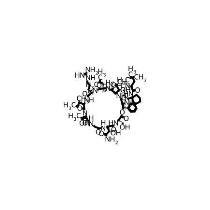 CC[C@H](C)C1NC(=O)[C@@H](CCCNC(=N)N)NC(=O)[C@H](CC(C)C)NC(=O)[C@H]([C@H](O)C(C)C)NC(=O)[C@@H](NC(=O)C2(NC(=O)[C@H](N)CC(C)(C)C)CCCCC2)[C@@H](c2ccccc2)OC(=O)[C@H](CO)NC(=O)[C@H]([C@H](O)C(N)=O)NC(=O)CNC(=O)[C@H]([C@H](C)O)NC1=O